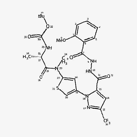 COc1ccccc1C(=O)NNC(=O)c1cc(C(F)(F)F)nn1-c1csc(N(C)C(=O)[C@H](C)NC(=O)OC(C)(C)C)c1